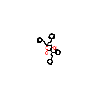 O=C1OC(CCc2ccccc2)(CCc2ccccc2)CC(O)=C1C(/C=C/c1ccccc1)c1ccccc1